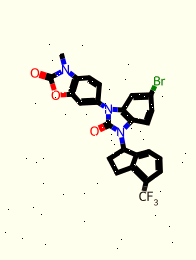 Cn1c(=O)oc2cc(-n3c(=O)n(C4CCc5c4cccc5C(F)(F)F)c4ccc(Br)cc43)ccc21